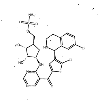 NS(=O)(=O)OC[C@H]1C[C@@H](Nc2ncncc2C(=O)c2cc([C@H]3NCCc4ccc(Cl)cc43)c(Cl)s2)[C@H](O)[C@@H]1O